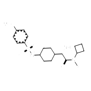 COc1ccc(S(=O)(=O)NC2CCC([C@H](N)C(=O)N(C)C3CCC3)CC2)cc1